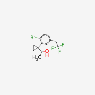 CC(O)C1(c2cc(CC(F)(F)F)ccc2Br)CC1